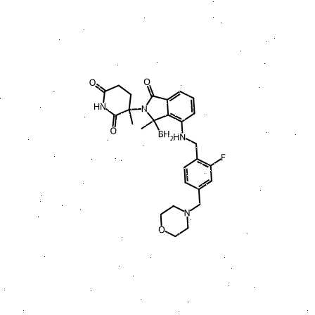 BC1(C)c2c(NCc3ccc(CN4CCOCC4)cc3F)cccc2C(=O)N1C1(C)CCC(=O)NC1=O